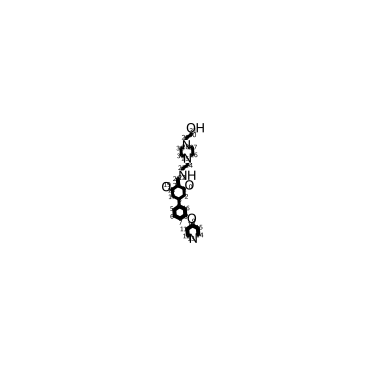 O=C1CC(c2cccc(Oc3ccncc3)c2)CC(=O)C1=CNCCN1CCN(CCO)CC1